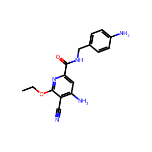 CCOc1nc(C(=O)NCc2ccc(N)cc2)cc(N)c1C#N